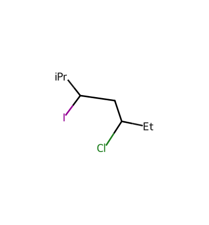 CCC(Cl)CC(I)C(C)C